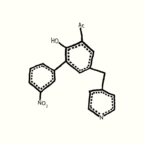 CC(=O)c1cc(Cc2ccncc2)cc(-c2cccc([N+](=O)[O-])c2)c1O